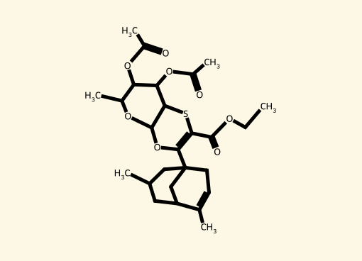 CCOC(=O)C1=C(C23CC=C(C)C(CC(C)C2)C3)OC2OC(C)C(OC(C)=O)C(OC(C)=O)C2S1